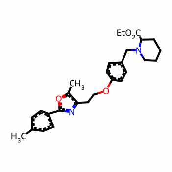 CCOC(=O)C1CCCCN1Cc1ccc(OCCc2nc(-c3ccc(C)cc3)oc2C)cc1